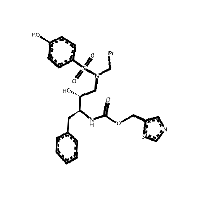 CC(C)CN(C[C@@H](O)[C@H](Cc1ccccc1)NC(=O)OCc1cncs1)S(=O)(=O)c1ccc(O)cc1